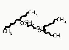 CCCCCCC(CCCC)O[SiH2]CCC[SiH2]OC(CCCC)CCCCCC